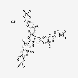 O=P([O][Mo](=[O])(=[O])[O][Mo](=[O])(=[O])[O][Mo](=[O])(=[O])[O][Mo](=[O])(=[O])[O-])([O][Mo](=[O])(=[O])[O][Mo](=[O])(=[O])[O][Mo](=[O])(=[O])[O][Mo](=[O])(=[O])[O-])[O][Mo](=[O])(=[O])[O][Mo](=[O])(=[O])[O][Mo](=[O])(=[O])[O][Mo](=[O])(=[O])[O-].[Gd+3]